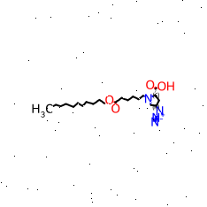 CCCCCCCCCCCOC(=O)CCCCCN1C[C@H](N=[N+]=[N-])C[C@H]1C(=O)O